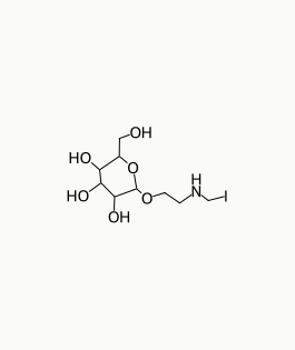 OCC1OC(OCCNCI)C(O)C(O)C1O